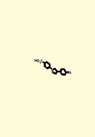 CCc1ccc(-c2cnn(-c3ccc(C(=O)O)cc3)c2)cc1